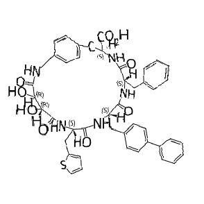 O=C(O)[C@@H]1Cc2ccc(cc2)NC(=O)[C@H](O)[C@@H](O)C(=O)N[C@@H](Cc2cccs2)C(=O)N[C@@H](Cc2ccc(-c3ccccc3)cc2)C(=O)N[C@@H](Cc2ccccc2)C(=O)N1